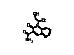 CCC(CO)n1c(=O)c(C(N)=O)cc2ncccc21